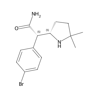 CC1(C)CC[C@@H]([C@@H](C(N)=O)c2ccc(Br)cc2)N1